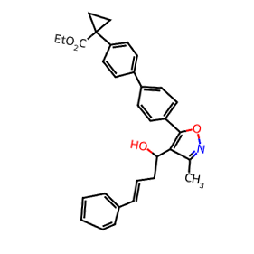 CCOC(=O)C1(c2ccc(-c3ccc(-c4onc(C)c4C(O)CC=Cc4ccccc4)cc3)cc2)CC1